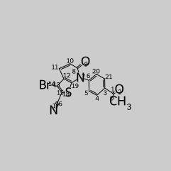 CC(=O)c1ccc(-n2c(=O)ccc3c(Br)c(C#N)sc32)cc1